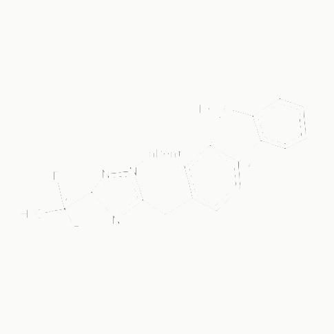 CCCCCn1nc(C(C)(F)F)nc1Cc1ccc(-c2ccccc2C(=O)O)cc1